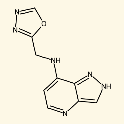 c1cc(NCc2nnco2)c2n[nH]cc2n1